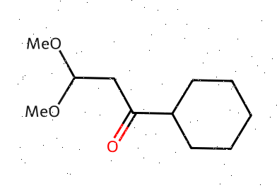 COC(CC(=O)C1CCCCC1)OC